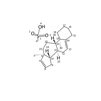 CS(=O)(=O)O.C[C@@]12C=CC[C@H]1[C@@H]1CC=C3CCCC[C@]3(C)[C@H]1CC2